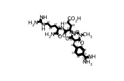 CN(C)C(=O)[C@@H](Cc1ccc(C(=N)N)cc1)C(=O)NC(CCC(=O)O)C(=O)NC(CCCNC(=N)N)C(N)=O